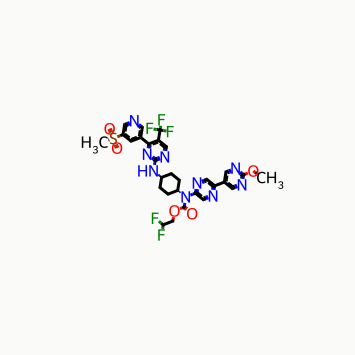 COc1ncc(-c2cnc(N(C(=O)OCC(F)F)[C@H]3CC[C@H](Nc4ncc(C(F)(F)F)c(-c5cncc(S(C)(=O)=O)c5)n4)CC3)cn2)cn1